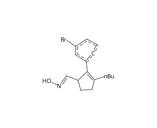 CCCCC1=C(c2cccc(Br)c2)C(C=NO)CC1